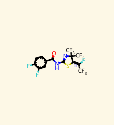 O=C(NC1=NC(C(F)(F)F)(C(F)(F)F)/C(=C(\F)C(F)(F)F)S1)c1ccc(F)c(F)c1